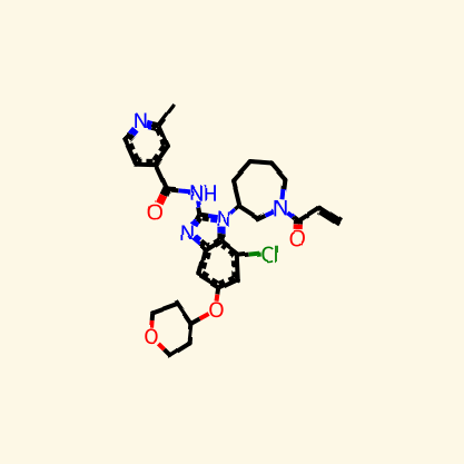 C=CC(=O)N1CCCCC(n2c(NC(=O)c3ccnc(C)c3)nc3cc(OC4CCOCC4)cc(Cl)c32)C1